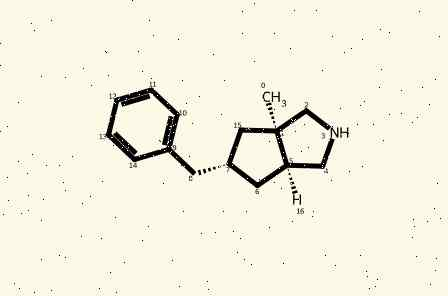 C[C@]12CNC[C@H]1C[C@H](Cc1ccccc1)C2